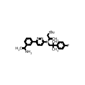 C=C(N)c1cccc(-c2ccc(N(CC(C)(C)c3ccc(F)cc3)C(=C)CC(C)(C)C)nn2)c1